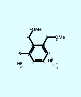 COCc1cccc([S])c1COC.F.F.F